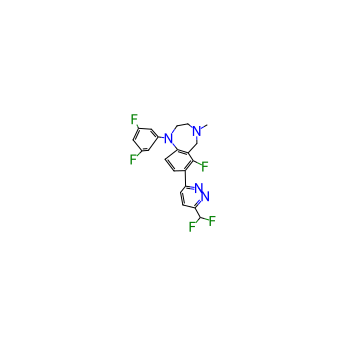 CN1CCN(c2cc(F)cc(F)c2)c2ccc(-c3ccc(C(F)F)nn3)c(F)c2C1